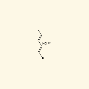 CC=CC=[CH][Ti].Cl.Cl